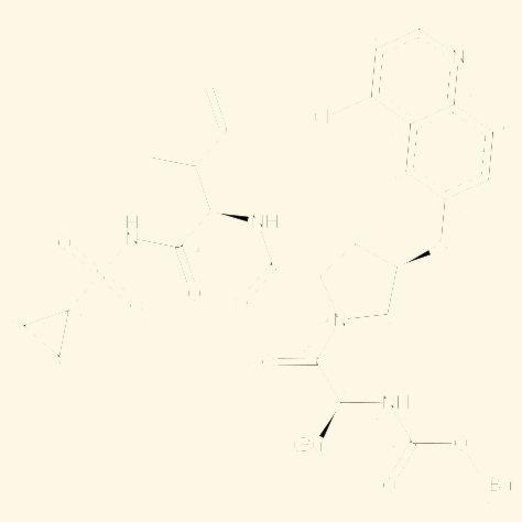 C=CC(C)[C@@H](NC(=O)[C@@H]1C[C@@H](Oc2ccc3nccc(Cl)c3c2)CN1C(=O)[C@@H](NC(=O)OC(C)(C)C)C(C)(C)C)C(=O)NS(=O)(=O)C1CC1